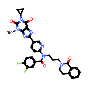 CCCn1c(=O)n(C2CC2)c(=O)c2[nH]c(-c3ccc(N(CCCN4CCc5ccccc5C4=O)C(=O)c4ccc(F)c(F)c4)nc3)nc21